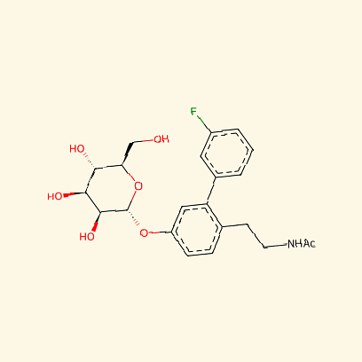 CC(=O)NCCc1ccc(O[C@H]2O[C@H](CO)[C@@H](O)[C@H](O)[C@@H]2O)cc1-c1cccc(F)c1